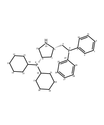 c1ccc(P(C[C@@H]2C[C@H](P(C3CCCCC3)C3CCCCC3)CN2)c2ccccc2)cc1